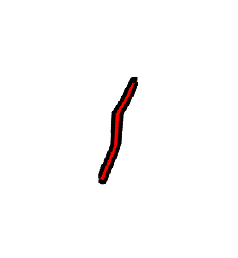 S=S=S=S=S=S=S=S=S=S=S=S=S=S=S=S=S=S=S=S=S=S=S=S=S=S=S=S=S=S=S=S=S=S=S=S=S=S=S=S=S=S=S=S=S=S=S=S=S=S=S=S=S=S=S=S=S=S=S=S=S=S=S=S=S=S=S=S=S=S=S=S=S=S=S=S=S=S=S=S=S=S=S=S=S=S=S=S=S=S=S=S=S=S=S=S=S=S=S=S=S=S=S=S=S=S=S=S=S=S=S=S=S=S=S=S=S=S=S=S=S=S=S=S=S=S=S=S=S=S=S=S=S=S=S